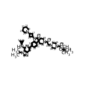 CC(C)n1cnc2cc(-c3ccc4c(c3)N(C3CC(N5CCCCC5)C3)C(=O)C43CCN(C(=O)CN4CCN(C(=O)OC(C)(C)C)CC4)CC3)nc(NC3CC3)c21